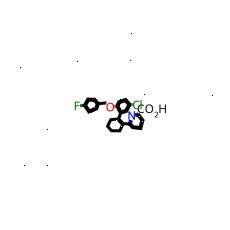 O=C(O)c1cccc(C2=C(c3cc(Cl)ccc3OCc3ccc(F)cc3)CCCC2)n1